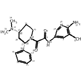 Cc1cc(NC(=O)C(=O)N2CC[C@@H](N(C)C)C[C@H]2c2ccccc2)cnc1N